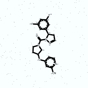 N#Cc1cc(OC2CCN(C(=O)N3N=CCC3c3cc(F)cc(F)c3)C2)ccn1